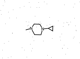 CN1CCN(C2[CH]C2)CC1